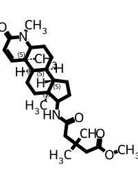 COC(=O)CC(C)(C)CC(=O)NC1CC[C@H]2[C@@H]3CCC4N(C)C(=O)C=C[C@]4(C)[C@@H]3CC[C@]12C